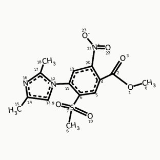 COC(=O)c1cc(S(C)(=O)=O)c(-n2cc(C)nc2C)cc1[N+](=O)[O-]